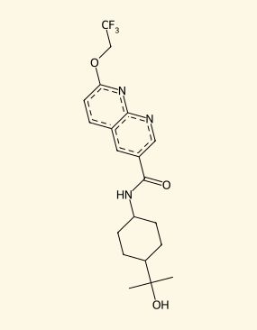 CC(C)(O)C1CCC(NC(=O)c2cnc3nc(OCC(F)(F)F)ccc3c2)CC1